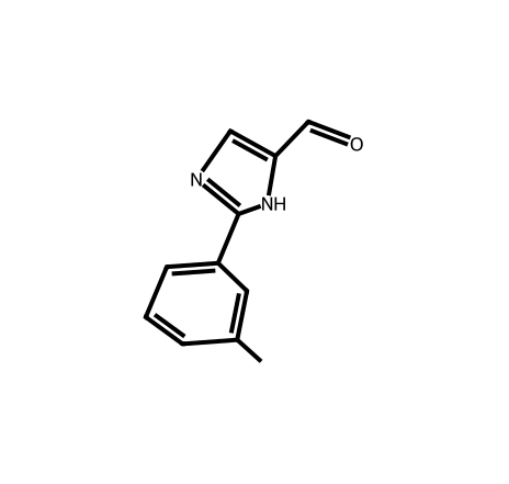 Cc1cccc(-c2ncc(C=O)[nH]2)c1